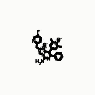 Cc1cc(C2=C(c3ccccc3)N=C(N)N3CN(Cc4ccc(F)cn4)[N+]([O-])=C23)cc(C)[n+]1[O-]